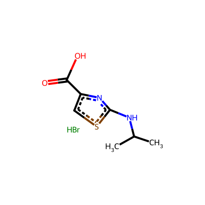 Br.CC(C)Nc1nc(C(=O)O)cs1